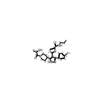 CCCNC(=O)c1csc(-c2c(-c3ccc(F)cc3)n[nH]c2C2CCN(C(=O)C(C)O)CC2)n1